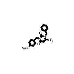 COc1ccc(Cn2c(=O)cc(C(F)(F)F)n(Cc3ccccc3)c2=O)cc1